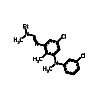 CCN(C)C=Nc1cc(Cl)cc(N(C)c2cccc(Cl)c2)c1C